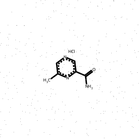 Cc1cncc(C(N)=O)n1.Cl